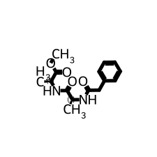 COC(=O)[C@H](C)NC(=O)[C@H](C)NC(=O)Cc1ccccc1